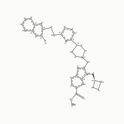 CC(C)(C)OC(=O)c1ccc2nc(CN3CCC(c4cccc(OCc5cc6cccnc6cc5F)n4)CC3)n(C[C@@H]3CCO3)c2c1